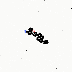 N#Cc1ccc2c3c(cccc13)Oc1cc(-c3ccc4ccc5c(-c6ccccc6)ccc6ccc3c4c65)ccc1-2